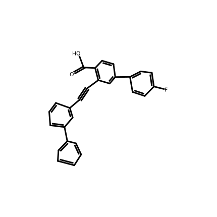 O=C(O)c1ccc(-c2ccc(F)cc2)cc1C#Cc1cccc(-c2ccccc2)c1